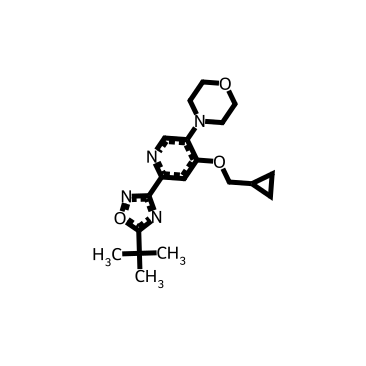 CC(C)(C)c1nc(-c2cc(OCC3CC3)c(N3CCOCC3)cn2)no1